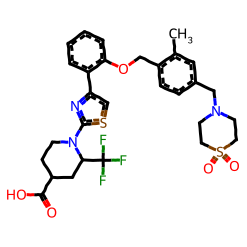 Cc1cc(CN2CCS(=O)(=O)CC2)ccc1COc1ccccc1-c1csc(N2CCC(C(=O)O)CC2C(F)(F)F)n1